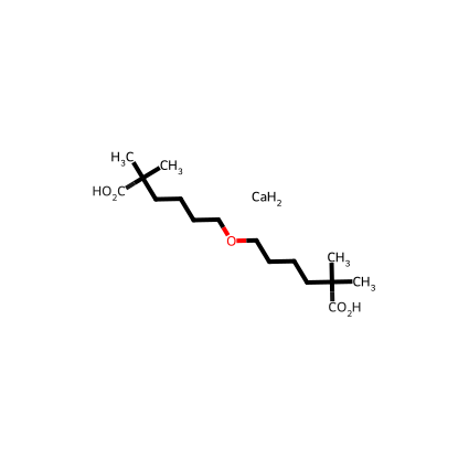 CC(C)(CCCCOCCCCC(C)(C)C(=O)O)C(=O)O.[CaH2]